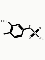 CS(=O)(=O)Nc1ccc(F)c(C(=O)O)c1